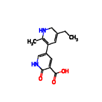 CCC1=CC(c2c[nH]c(=O)c(C(=O)O)c2)=C(C)NC1